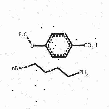 CCCCCCCCCCCCCCP.O=C(O)c1ccc(OC(F)(F)F)cc1